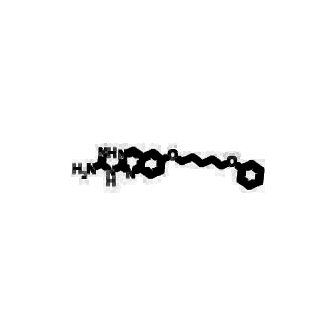 N=C(N)Nc1ncc2cc(OCCCCCOc3ccccc3)ccc2n1